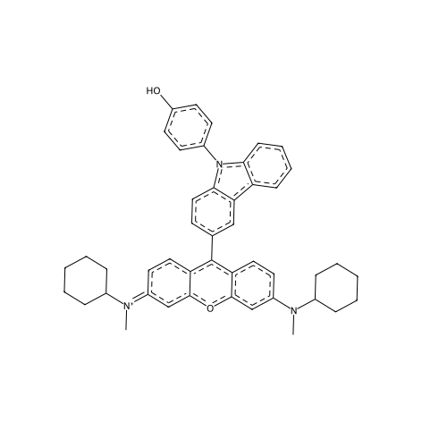 CN(c1ccc2c(-c3ccc4c(c3)c3ccccc3n4-c3ccc(O)cc3)c3cc/c(=[N+](/C)C4CCCCC4)cc-3oc2c1)C1CCCCC1